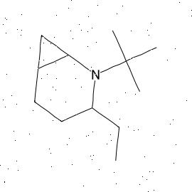 CCC1CCC2CC2N1C(C)(C)C